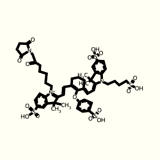 CC1(C)C(/C=C/C2=C(Oc3ccc(S(=O)(=O)O)cc3)C(=C/C=C3/N(CCCCS(=O)(=O)O)c4ccc(S(=O)(=O)O)cc4C3(C)C)/CCC2)=[N+](CCCCCC(=O)CN2C(=O)CCC2=O)c2ccc(S(=O)(=O)O)cc21